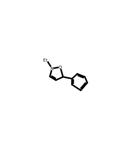 CCN1C=CC(c2ccccc2)O1